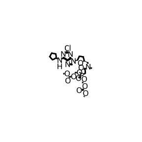 COC(=O)OCOP(=O)(CC(=O)N(C)C[C@@H]1CC[C@H](n2cnc3c(NC4CCCC4)nc(Cl)nc32)O1)OCOC(=O)OC